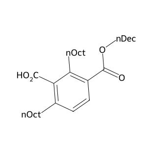 CCCCCCCCCCOC(=O)c1ccc(CCCCCCCC)c(C(=O)O)c1CCCCCCCC